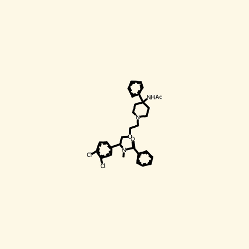 CC(=O)NC1(c2ccccc2)CCN(CCOCC(c2ccc(Cl)c(Cl)c2)N(C)C(=O)c2ccccc2)CC1